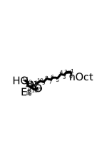 CCCCCCCC/C=C\CCCCCCCCC1=NC(CC)(CCO)CO1